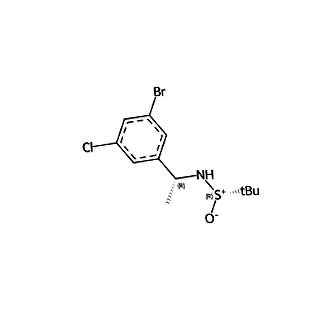 C[C@@H](N[S@@+]([O-])C(C)(C)C)c1cc(Cl)cc(Br)c1